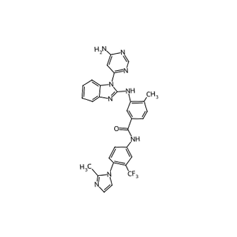 Cc1ccc(C(=O)Nc2ccc(-n3ccnc3C)c(C(F)(F)F)c2)cc1Nc1nc2ccccc2n1-c1cc(N)ncn1